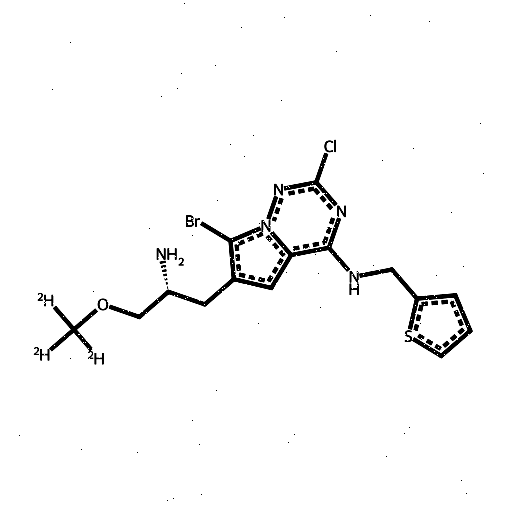 [2H]C([2H])([2H])OC[C@H](N)Cc1cc2c(NCc3cccs3)nc(Cl)nn2c1Br